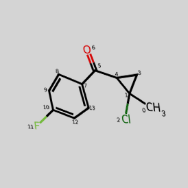 CC1(Cl)CC1C(=O)c1ccc(F)cc1